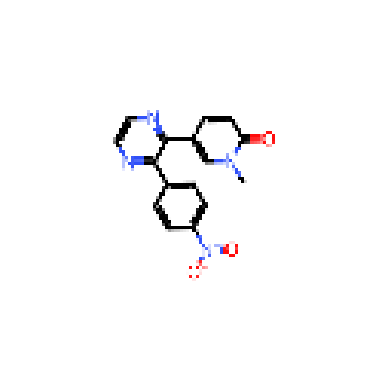 Cn1cc(-c2nccnc2-c2ccc([N+](=O)[O-])cc2)ccc1=O